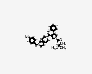 CC(C)(C)OC(=O)N1C[C@H](c2ccccc2)[C@H](C(=O)N2CCC3(CCN(Cc4ccc(Br)cc4)C3)CC2)C1